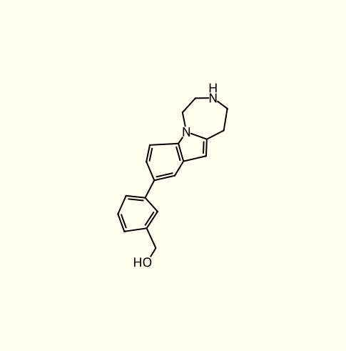 OCc1cccc(-c2ccc3c(c2)cc2n3CCNCC2)c1